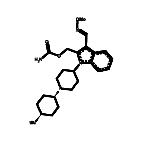 CON=Cc1c(COC(N)=O)n(C2CCN([C@H]3CC[C@@H](C(C)(C)C)CC3)CC2)c2ccccc12